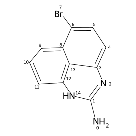 NC1=Nc2ccc(Br)c3cccc(c23)N1